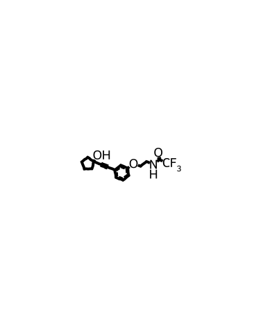 O=C(NCCOc1cccc(C#CC2(O)CCCC2)c1)C(F)(F)F